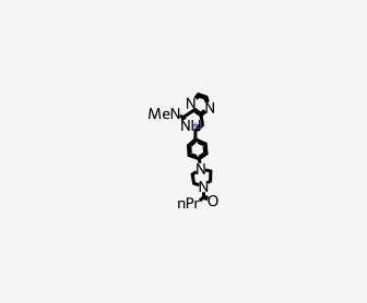 CCCC(=O)N1CCN(c2ccc(/C=C/c3nccnc3C(=N)NC)cc2)CC1